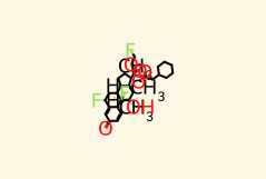 C[C@@H]1C[C@H]2[C@@H]3C[C@H](F)C4=CC(=O)C=C[C@]4(C)C3(F)[C@@H](O)C[C@]2(C)[C@@]1(OC(=O)CC1CCCCC1)C(=O)OCF